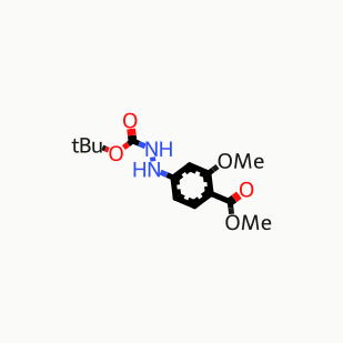 COC(=O)c1ccc(NNC(=O)OC(C)(C)C)cc1OC